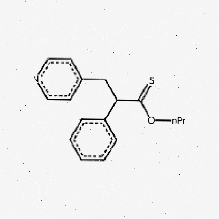 CCCOC(=S)C(Cc1ccncc1)c1ccccc1